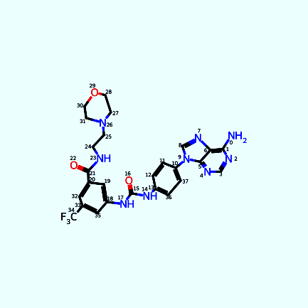 Nc1ncnc2c1ncn2-c1ccc(NC(=O)Nc2cc(C(=O)NCCN3CCOCC3)cc(C(F)(F)F)c2)cc1